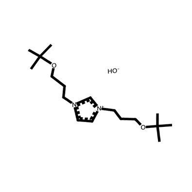 CC(C)(C)OCCCn1cc[n+](CCCOC(C)(C)C)c1.[OH-]